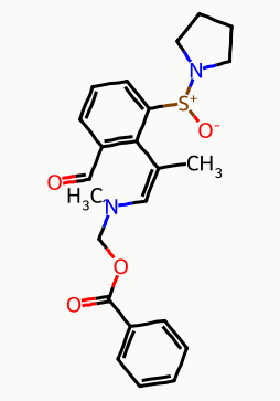 C/C(=C/N(C)COC(=O)c1ccccc1)c1c(C=O)cccc1[S+]([O-])N1CCCC1